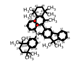 Cc1c(-c2cc3c(cc2N(c2ccccc2)c2ccc4c(c2)C(C)(C)CCC4(C)C)C(C)(C)c2ccccc2-3)ccc2c1C(C)(C)CCC2(C)C